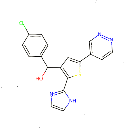 OC(c1ccc(Cl)cc1)c1cc(-c2ccnnc2)sc1-c1ncc[nH]1